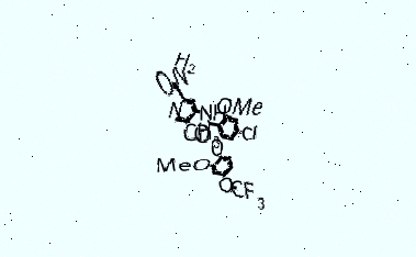 COc1cc(OC(F)(F)F)ccc1Oc1cc(Cl)cc(OC)c1C(=O)Nc1cc(C(N)=O)ncc1C